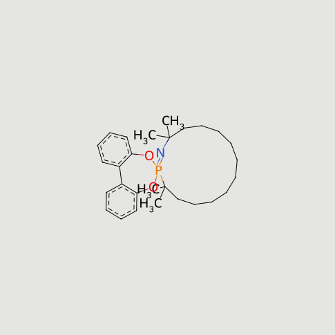 CC1(C)CCCCCCCCCCC(C)(C)P2(=N1)Oc1ccccc1-c1ccccc1O2